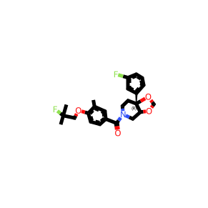 Cc1cc(C(=O)N2CC[C@]3(c4cccc(F)c4)OCOC3C2)ccc1OCC(C)(C)F